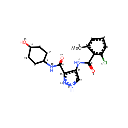 COc1cccc(Cl)c1C(=O)Nc1c[nH]nc1C(=O)NC1CCC(O)CC1